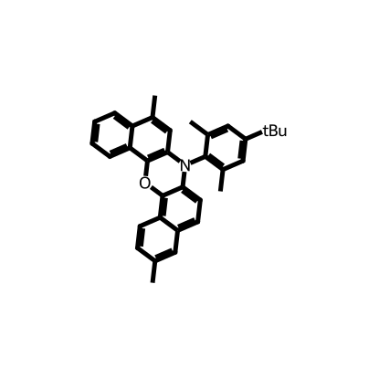 Cc1ccc2c3c(ccc2c1)N(c1c(C)cc(C(C)(C)C)cc1C)c1cc(C)c2ccccc2c1O3